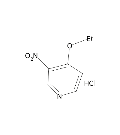 CCOc1ccncc1[N+](=O)[O-].Cl